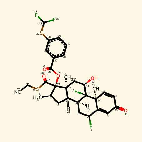 C[C@@H]1C[C@H]2[C@@H]3C[C@H](F)C4=CC(=O)C=C[C@]4(C)[C@@]3(F)[C@H](O)C[C@]2(C)[C@@]1(OC(=O)c1cccc(SC(F)F)c1)C(=O)SCC#N